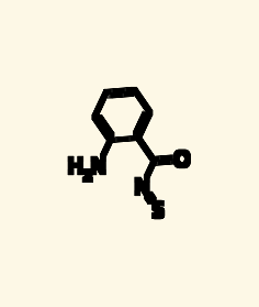 Nc1ccccc1C(=O)N=S